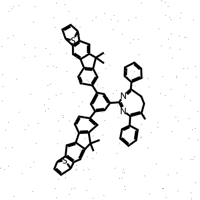 C/C1=C(c2ccccc2)/N=C(c2cc(-c3ccc4c(c3)C(C)(C)c3cc5c(cc3-4)C3C=CC5S3)cc(-c3ccc4c(c3)C(C)(C)c3cc5c(cc3-4)C3C=CC5S3)c2)\N=C(\c2ccccc2)CC1